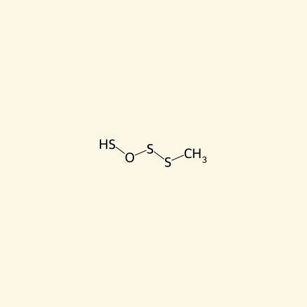 CSSOS